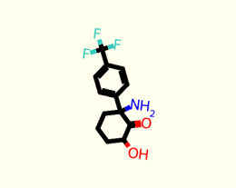 NC1(c2ccc(C(F)(F)F)cc2)CCCC(O)C1=O